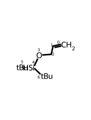 C=CCO[SiH](C(C)(C)C)C(C)(C)C